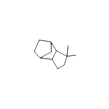 CC1(C)CCC2C3CCC(C3)C21